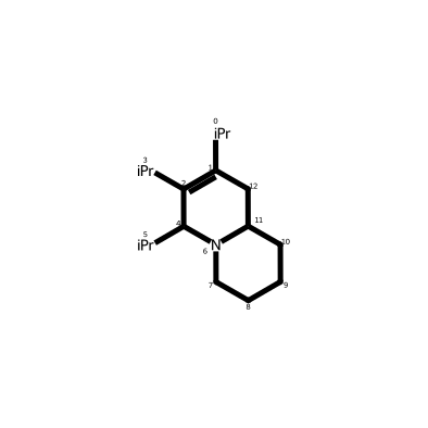 CC(C)C1=C(C(C)C)C(C(C)C)N2CCCCC2C1